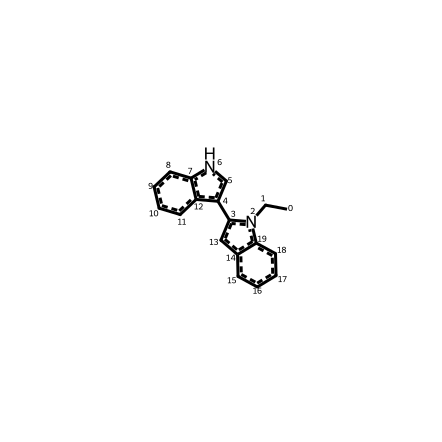 CCn1c(-c2c[nH]c3ccccc23)cc2ccccc21